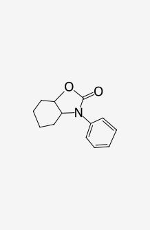 O=C1OC2CCCCC2N1c1ccccc1